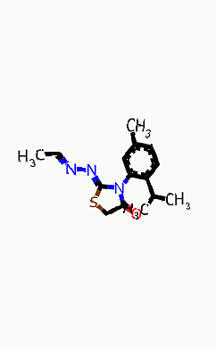 C/C=N/N=C1\SCC(=O)N1c1cc(C)ccc1C(C)C